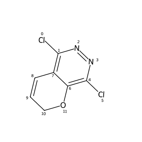 Clc1nnc(Cl)c2c1C=CCO2